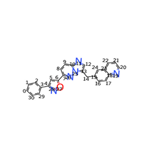 c1ccc(-c2cc(-c3ccc4ncc(Cc5ccc6ncccc6c5)n4n3)on2)cc1